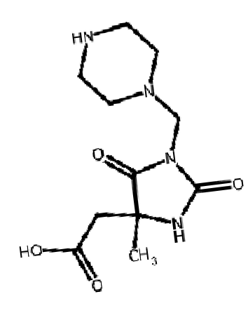 CC1(CC(=O)O)NC(=O)N(CN2CCNCC2)C1=O